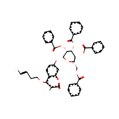 CC/C=C/CCOc1c(OC(C)=O)c(=O)oc2cc(O[C@H]3O[C@H](COC(=O)c4ccccc4)[C@@H](OC(=O)c4ccccc4)[C@H](OC(=O)c4ccccc4)[C@@H]3OC(=O)c3ccccc3)ccc12